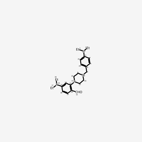 CCN(CC)c1ccc(CN2CCN(c3cc(N(CC)CC)ccc3C=O)CC2)cc1